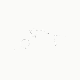 Cc1ccc(-n2ccc(CCNC(CC(C)C)C(=O)O)n2)cc1